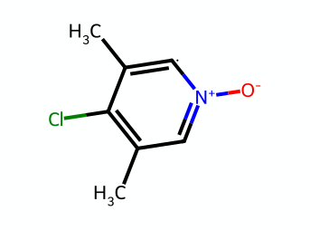 Cc1[c][n+]([O-])cc(C)c1Cl